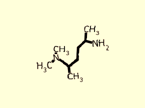 CC(N)CCC(C)N(C)C